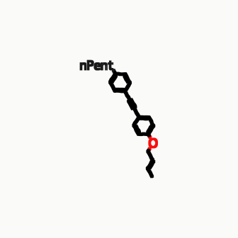 CC=CCOc1ccc(C#Cc2ccc(CCCCC)cc2)cc1